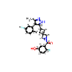 Cc1ccc(F)cc1-c1c(C)n[nH]c1C1CC2(C1)CN(C(=O)c1cc(O)ccc1F)C2